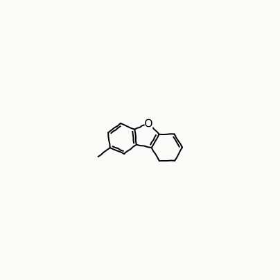 Cc1ccc2oc3c(c2c1)CCC=C3